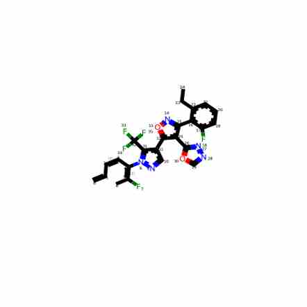 C=C/C=C\C(=C(/C)F)n1ncc(-c2onc(-c3c(F)cccc3CC)c2-c2nnco2)c1C(F)(F)F